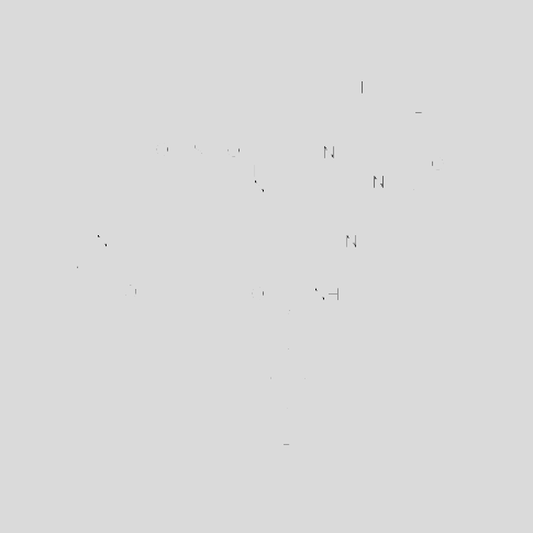 CC1(C)COC(c2ccc(Nc3cc(NC(=O)C4C5C(F)C45)nc4c3nc(C(F)F)n4C3CCCCO3)c(S(C)(=O)=O)c2)=N1